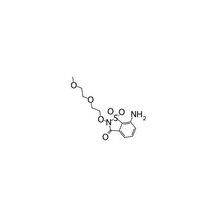 COCCOCCON1C(=O)c2cccc(N)c2S1(=O)=O